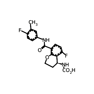 Cc1cc(NC(=O)c2ccc(F)c3c2OCC[C@@H]3NC(=O)O)ccc1F